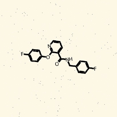 O=C(NCc1ccc(F)cc1)c1cccnc1Oc1ccc(F)cc1